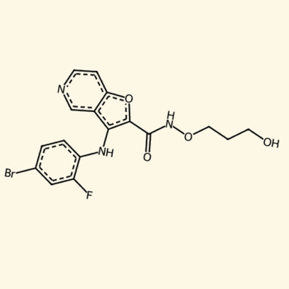 O=C(NOCCCO)c1oc2ccncc2c1Nc1ccc(Br)cc1F